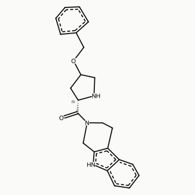 O=C([C@@H]1CC(OCc2ccccc2)CN1)N1CCc2c([nH]c3ccccc23)C1